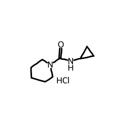 Cl.O=C(NC1CC1)N1CCCCC1